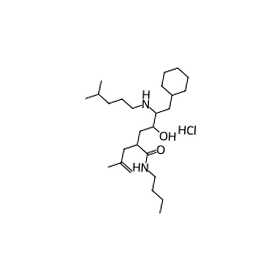 C=C(C)CC(CC(O)C(CC1CCCCC1)NCCCC(C)C)C(=O)NCCCC.Cl